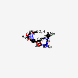 COc1ccc(C[C@H]2NC(=O)/C=C/C[C@@H]([C@H](C)[C@H]3O[C@@H]3c3ccc(CNC(=O)[C@H](C)NC(=O)[C@@H](NC(=O)CCCC(=O)O)C(C)C)cc3)OC(=O)[C@H](CC(C)(C)C)NC(=O)C(C)(C)CNC2=O)cc1Cl